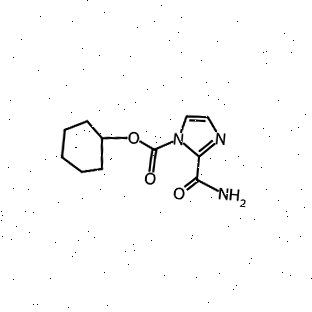 NC(=O)c1nccn1C(=O)OC1CCCCC1